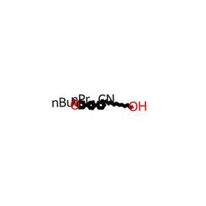 CCCCC(CCC)Oc1ccc(-c2ccc(C3CCCC(C#N)(CCCCCCCCCCO)C3)cc2)cc1